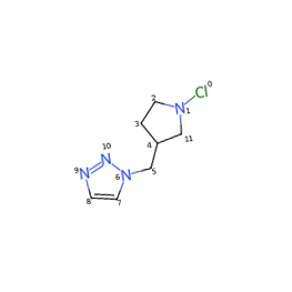 ClN1CCC(Cn2ccnn2)C1